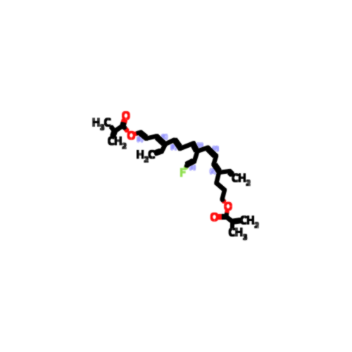 C=C/C(=C\C=C/C(=C/C=C/C(C=C)=C/C=C/OC(=O)C(=C)C)/C=C/F)CCCOC(=O)C(=C)C